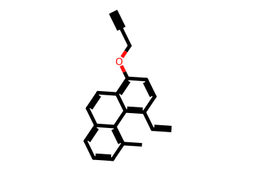 C#CCOc1ccc(C=C)c2c1ccc1cccc(C)c12